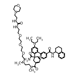 CCN(CC)c1ccc(C2(C(N)=O)C=CC=C(C(=O)N(C)CCN(C)CCOCCOCCOCCNC(=O)NCCN3CCOCC3)C2)c(-c2cc(C(=O)NC3CCCc4ccccc43)ccn2)c1